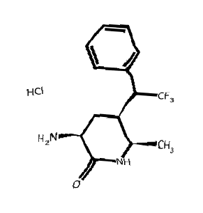 C[C@H]1NC(=O)[C@@H](N)C[C@H]1C(c1ccccc1)C(F)(F)F.Cl